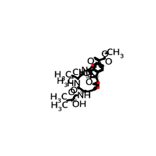 COC(=O)c1coc(-c2nc3oc2[C@]24c5ccccc5NC2Oc2ccc(cc24)C[C@H](NC(=O)[C@@H](O)C(C)C)C(=O)NC3C(C)(C)C)n1